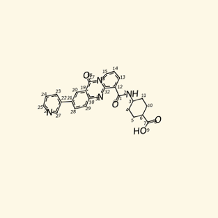 O=C(NC1CCC(C(=O)O)CC1)c1cccn2c(=O)c3cc(-c4cccnc4)ccc3nc12